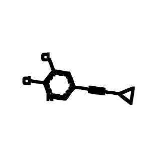 Clc1cc(C#CC2CC2)cnc1Cl